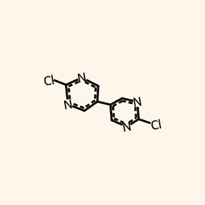 Clc1ncc(-c2cnc(Cl)nc2)cn1